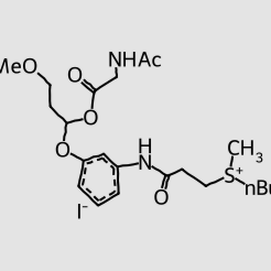 CCCC[S+](C)CCC(=O)Nc1cccc(OC(CCOC)OC(=O)CNC(C)=O)c1.[I-]